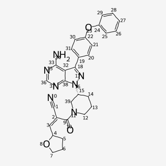 N#C/C(=C/C1CCCO1)C(=O)N1CCC[C@@H](n2nc(-c3ccc(Oc4ccccc4)cc3)c3c(N)ncnc32)C1